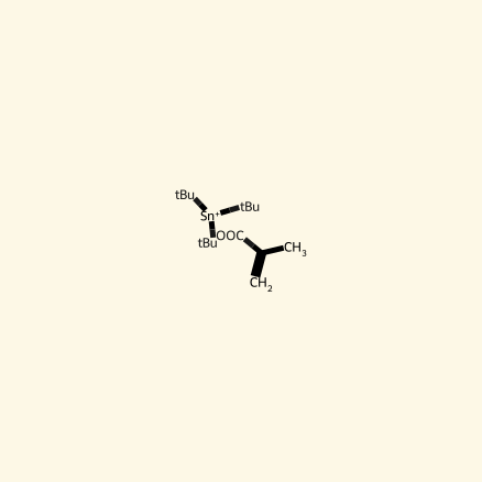 C=C(C)C(=O)[O-].C[C](C)(C)[Sn+]([C](C)(C)C)[C](C)(C)C